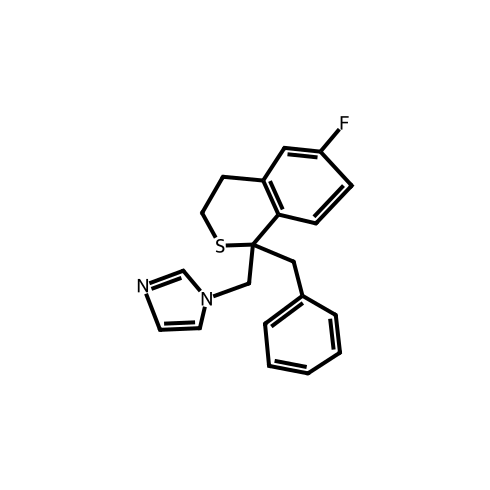 Fc1ccc2c(c1)CCSC2(Cc1ccccc1)Cn1ccnc1